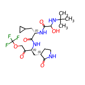 CC(C)(C)NC(O)C(=O)N[C@@H](CC1CC1)C(=O)N[C@@H](C[C@@H]1CCNC1=O)C(=O)COC(F)(F)F